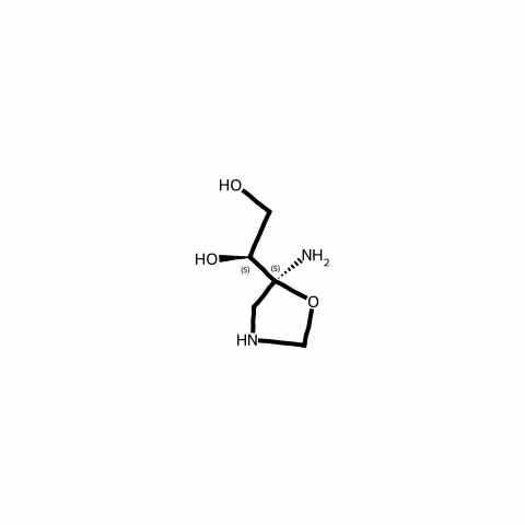 N[C@@]1([C@@H](O)CO)CNCO1